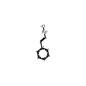 [Cl][Pd][CH]=Cc1ccccc1